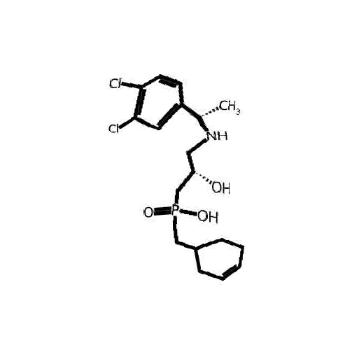 C[C@H](NC[C@H](O)CP(=O)(O)CC1CC=CCC1)c1ccc(Cl)c(Cl)c1